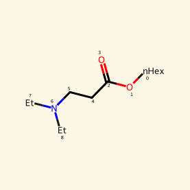 CCCCCCOC(=O)CCN(CC)CC